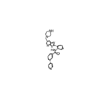 O=C(Nc1ccccc1-c1nc2cc(CN3CCNCC3)cnc2s1)c1cccc(-c2ccncc2)c1